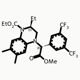 CCOC(=O)N1c2cc(C)c(C)cc2N([C@@H](C(=O)OC)c2cc(C(F)(F)F)cc(C(F)(F)F)c2)C[C@@H]1CC